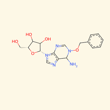 NC1c2ncn([C@@H]3O[C@H](CO)C(O)C3O)c2N=CN1OCc1ccccc1